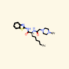 CC(=O)CCCCC[C@H](NC(=O)CN1CCN(C(C)C)CC1)C(=O)Nc1nc2ccccc2s1